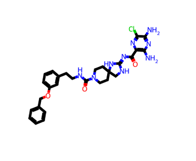 Nc1nc(N)c(C(=O)/N=C2\NCC3(CCN(C(=O)NCCc4cccc(OCc5ccccc5)c4)CC3)N2)nc1Cl